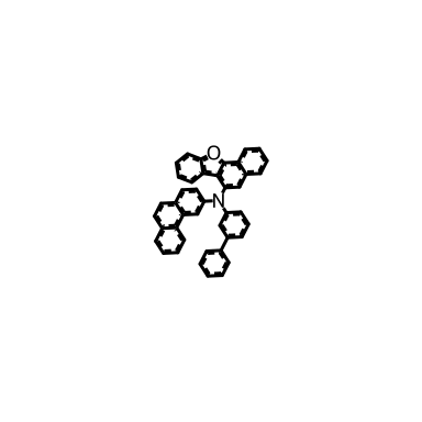 c1ccc(-c2cccc(N(c3ccc4ccc5ccccc5c4c3)c3cc4ccccc4c4oc5ccccc5c34)c2)cc1